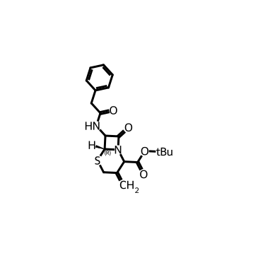 C=C1CS[C@@H]2C(NC(=O)Cc3ccccc3)C(=O)N2C1C(=O)OC(C)(C)C